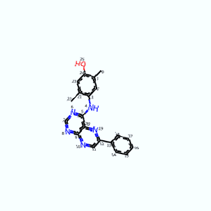 Cc1cc(Nc2ncnc3ncc(-c4ccccc4)nc23)c(C)cc1O